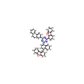 c1ccc2c(c1)ccc1cc(-c3nc(-c4ccc(-c5cccc6oc7ccccc7c56)c5ccccc45)nc(-c4cccc5c4oc4ccccc45)n3)ccc12